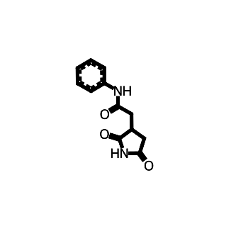 O=C1CC(CC(=O)Nc2ccccc2)C(=O)N1